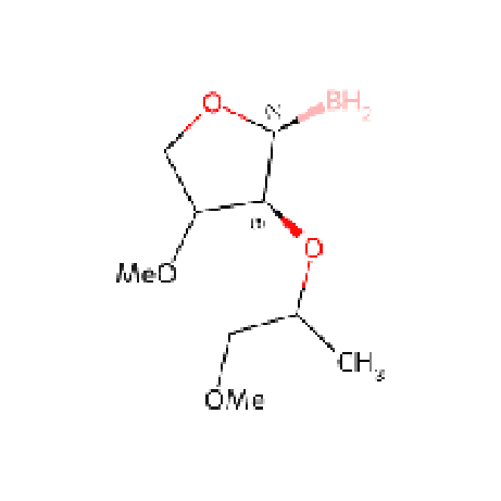 B[C@@H]1OCC(OC)[C@@H]1OC(C)COC